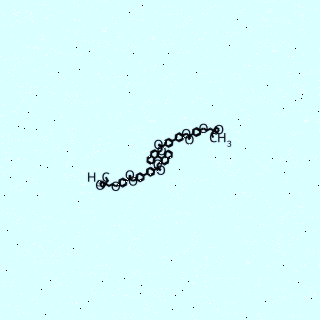 CCC1(CCOc2ccc(C(=O)Oc3ccc(-c4ccc(C(=O)Oc5ccc6ccccc6c5-c5c(OC(=O)c6ccc(-c7ccc(OC(=O)c8ccc(OCCC9(CC)COC9)cc8)cc7)cc6)ccc6ccccc56)cc4)cc3)cc2)COC1